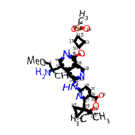 COC[C@@](C)(N)c1cnc(O[C@H]2C[C@@H](S(C)(=O)=O)C2)c2cnc(Nc3ccc4c(n3)C3(CC3)C(C)(C)OC4=O)cc12